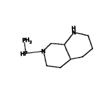 PPN1CCC2CCCNC2C1